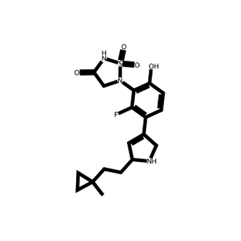 CC1(CCC2C=C(c3ccc(O)c(N4CC(=O)NS4(=O)=O)c3F)CN2)CC1